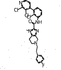 Cn1c(C(=O)Nc2cccc(-c3ccnc(Cl)c3Cl)c2Cl)nc2c1CCN(CCc1ccc(F)cc1)C2